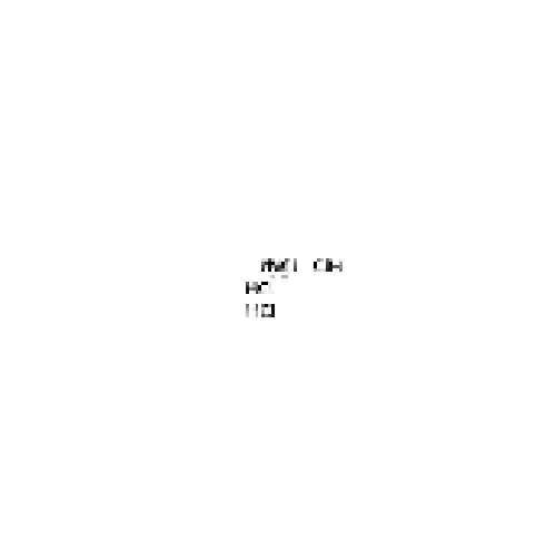 Cl.Cl.Cl.Cl.[Mg]